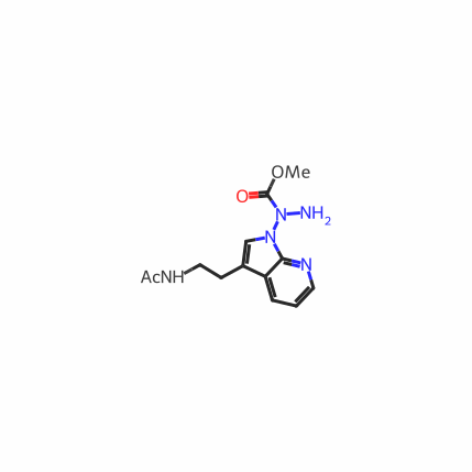 COC(=O)N(N)n1cc(CCNC(C)=O)c2cccnc21